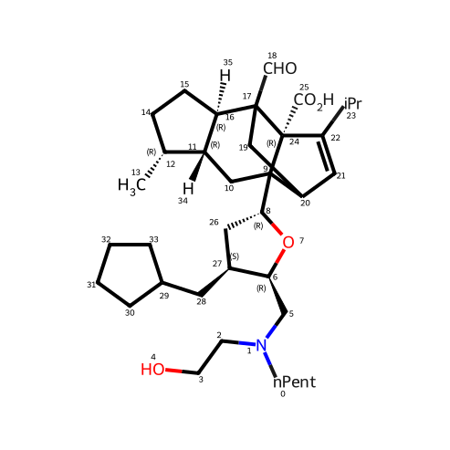 CCCCCN(CCO)C[C@@H]1O[C@@H](C23C[C@@H]4[C@H](C)CC[C@H]4C4(C=O)CC2C=C(C(C)C)[C@]43C(=O)O)C[C@@H]1CC1CCCC1